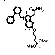 COP(=O)(CCCOc1ccc2c(c1)c(CC(N)=O)c(C)n2Cc1ccccc1-c1ccccc1)OC